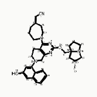 N#CCC1CCCN(c2nc(OC[C@@]34CCCN3C[C@H](F)C4)nc3c2CCN(c2cc(O)cc4ccccc24)C3)CC1